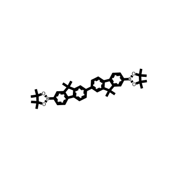 CC1(C)c2cc(B3OC(C)(C)C(C)(C)O3)ccc2-c2ccc(-c3ccc4c(c3)C(C)(C)c3cc(B5OC(C)(C)C(C)(C)O5)ccc3-4)cc21